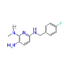 CCN(C)c1nc(NCc2ccc(F)cc2)ccc1N